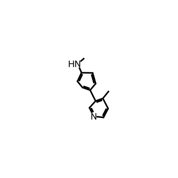 CNc1ccc(-c2cnccc2C)cc1